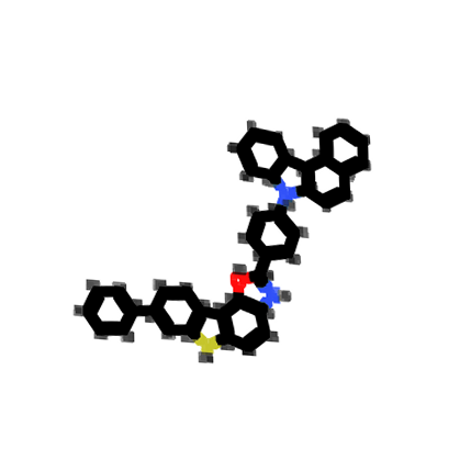 C1=CC2c3c(ccc4ccccc34)N(c3ccc(-c4nc5ccc6sc7cc(-c8ccccc8)ccc7c6c5o4)cc3)C2C=C1